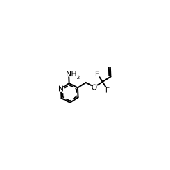 C=CC(F)(F)OCc1cccnc1N